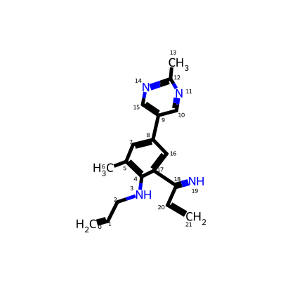 C=CCNc1c(C)cc(-c2cnc(C)nc2)cc1C(=N)C=C